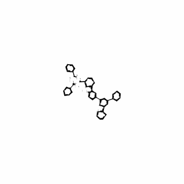 c1ccc(-c2cc(-c3ccc4oc5c(-c6nc(-c7ccccc7)nc(-c7ccccc7)n6)cccc5c4c3)c3sc4ccccc4c3c2)cc1